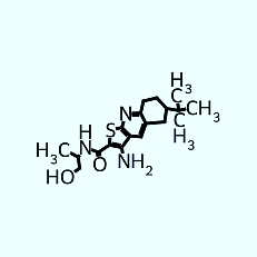 CC(CO)NC(=O)c1sc2nc3c(cc2c1N)CC(C(C)(C)C)CC3